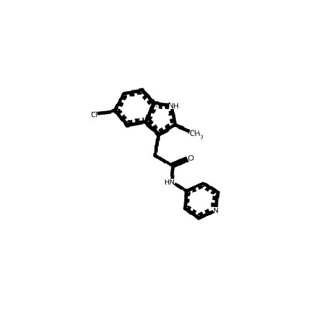 Cc1[nH]c2ccc(Cl)cc2c1CC(=O)Nc1ccncc1